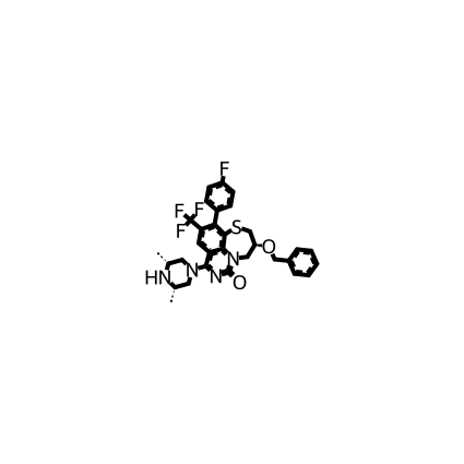 C[C@@H]1CN(c2nc(=O)n3c4c(c(-c5ccc(F)cc5)c(C(F)(F)F)cc24)SC[C@@H](OCc2ccccc2)C3)C[C@H](C)N1